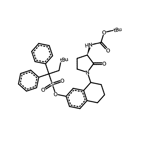 CC(C)(C)CC(c1ccccc1)(c1ccccc1)S(=O)(=O)Oc1ccc2c(c1)C(N1CC[C@@H](NC(=O)OC(C)(C)C)C1=O)CCC2